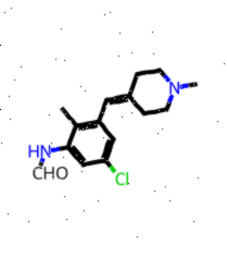 Cc1c(C=C2CCN(C)CC2)cc(Cl)cc1NC=O